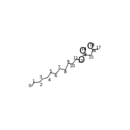 CCCCCCCCCCCCOC(=O)CC(C)=O